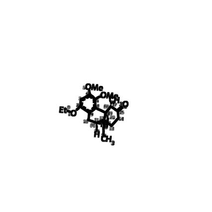 CCOc1cc(OC)c(OC)c2c1C[C@@H]1[C@@H]3CCC(=O)[C@@H](C)[C@]23CCN1C